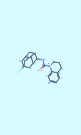 O=C(NC1C2CC3CC1CC(F)(C3)C2)N1CCCc2ccccc21